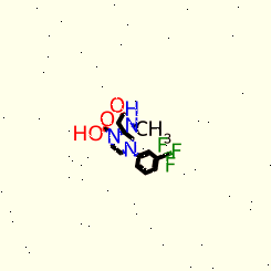 CNC1(CC=O)CN(c2cccc(C(F)(F)F)c2)CCN1C(=O)O